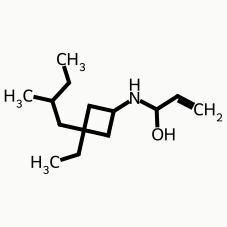 C=CC(O)NC1CC(CC)(CC(C)CC)C1